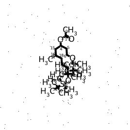 CC(=O)OC(CCO[Si](C)(C)C(C)(C)C)C[C@@H](C)CCCC(C)(C)O[Si](C)(C)C(C)(C)C